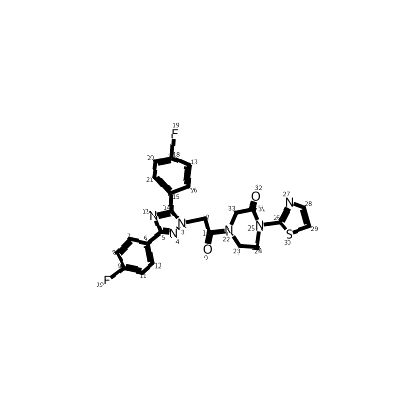 O=C(Cn1nc(-c2ccc(F)cc2)nc1-c1ccc(F)cc1)N1CCN(c2nccs2)C(=O)C1